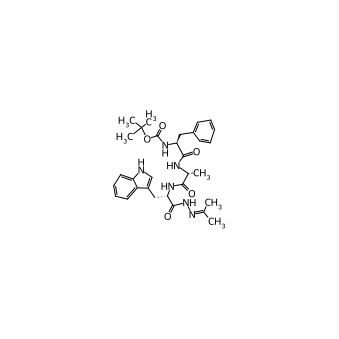 CC(C)=NNC(=O)[C@H](Cc1c[nH]c2ccccc12)NC(=O)[C@@H](C)NC(=O)[C@H](Cc1ccccc1)NC(=O)OC(C)(C)C